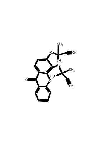 C#CC(C)(C)Oc1ccc2c(=O)c3ccccc3oc2c1OC(C)(C)C#C